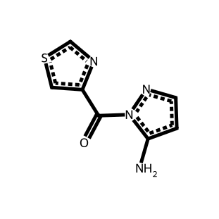 Nc1ccnn1C(=O)c1cscn1